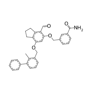 Cc1c(COc2cc(OCc3cccc(C(N)=O)c3)c(C=O)c3c2CCC3)cccc1-c1ccccc1